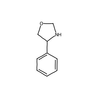 c1ccc(C2COCN2)cc1